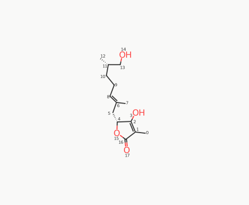 CC1=C(O)[C@@H](C/C(C)=C/CC[C@H](C)CO)OC1=O